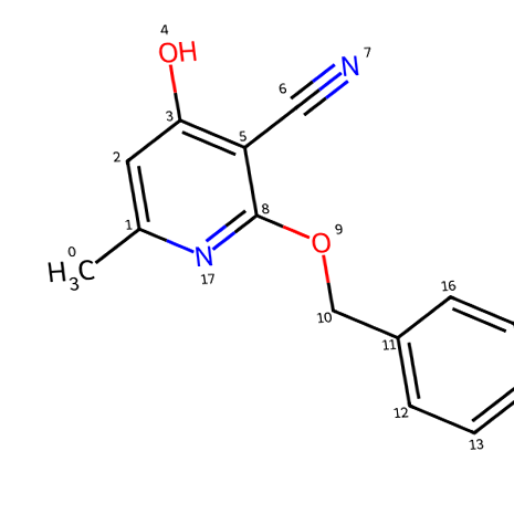 Cc1cc(O)c(C#N)c(OCc2ccccc2)n1